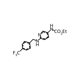 CCOC(=O)Nc1ccc(NCc2ccc(C(F)(F)F)cc2)nc1